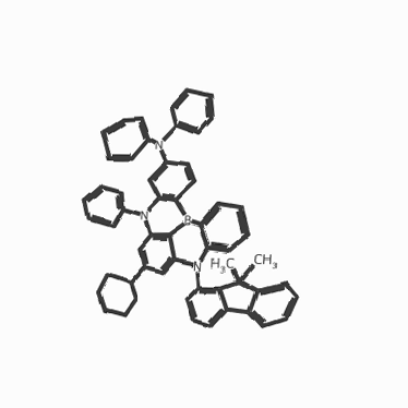 CC1(C)c2ccccc2-c2cccc(N3c4ccccc4B4c5ccc(N(c6ccccc6)c6ccccc6)cc5N(c5ccccc5)c5cc(C6CCCCC6)cc3c54)c21